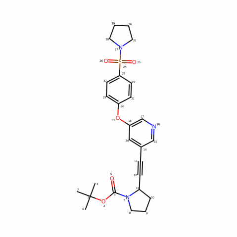 CC(C)(C)OC(=O)N1CCCC1C#Cc1cncc(Oc2ccc(S(=O)(=O)N3CCCC3)cc2)c1